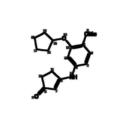 COc1ccc(NC2=CC(=O)CC2)cc1OC1CCCC1